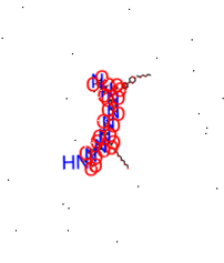 CCCCCCCCCCOC(=O)c1cc(N2C(=O)C3CC(C2=O)C2C(=O)N(c4cc(NC)cc(C(=O)OC)c4)C(=O)CC32)cc(N2C(=O)CC3C4CC(C(=O)N(c5ccc(N6C(=O)CC7C8CC(C(=O)N(c9cc(C(=O)Oc%10ccc(C%11CCC(CCCCCC)CC%11)cc%10)cc(N%10C(=O)CC%11C%12CC(C(=O)N(C)C%12=O)C%11C%10=O)c9)C8=O)C7C6=O)cc5)C4=O)C3C2=O)c1